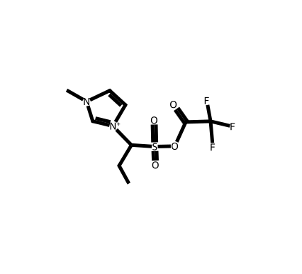 CCC([n+]1ccn(C)c1)S(=O)(=O)OC(=O)C(F)(F)F